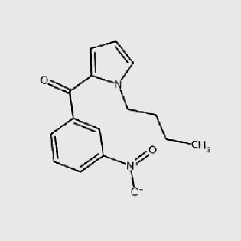 CCCCn1cccc1C(=O)c1cccc([N+](=O)[O-])c1